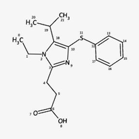 CCn1c(CCC(=O)O)nc(Sc2ccccc2)c1C(C)C